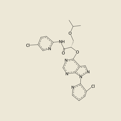 CC(C)OC[C@H](Oc1ncnc2c1cnn2-c1ncccc1Cl)C(=O)Nc1ccc(Cl)cn1